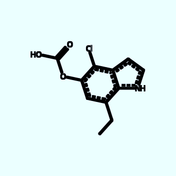 CCc1cc(OC(=O)O)c(Cl)c2cc[nH]c12